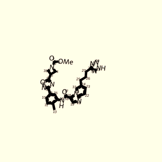 COC(=O)N1CC(c2nc(-c3ccc(C)c(NC(=O)c4cnc5ccc(CCCc6nn[nH]n6)cn45)c3)no2)C1